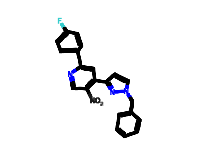 O=[N+]([O-])c1cnc(-c2ccc(F)cc2)cc1-c1ccn(Cc2ccccc2)n1